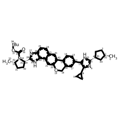 C[C@H]1CC[C@@H](c2nc(C3CC3)c(-c3ccc4c(c3)COc3cc5c(ccc6nc([C@@H]7CC[C@H](C)N7C(=O)OC(C)(C)C)[nH]c65)cc3-4)[nH]2)C1